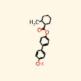 CC1CCCCC1C(=O)Oc1ccc(-c2ccc(O)cc2)cc1